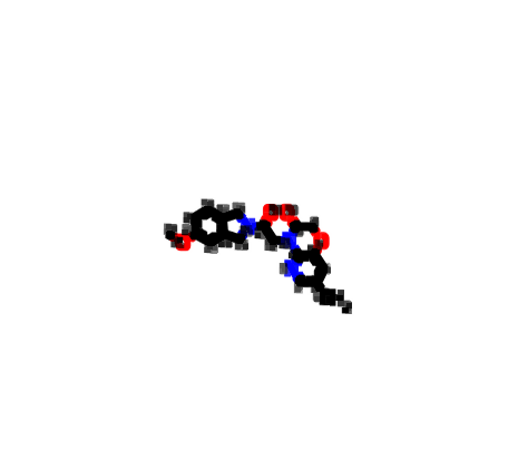 Bc1cnc2c(c1)OCC(=O)N2CC(=O)N1Cc2ccc(OC)cc2C1